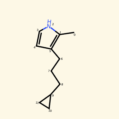 Cc1[nH]ccc1CCCC1CC1